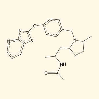 CC(=O)NC(C)CC1CCC(C)N1Cc1ccc(Oc2nc3ncccc3s2)cc1